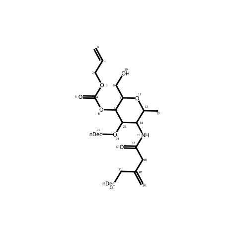 C=CCOC(=O)OC1C(CO)OC(C)C(NC(=O)CC(=C)CCCCCCCCCCC)C1OCCCCCCCCCC